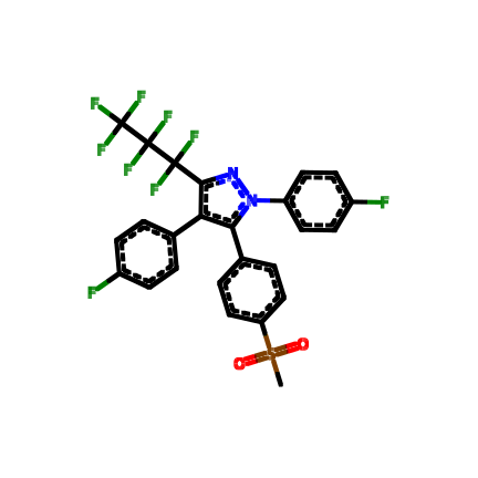 CS(=O)(=O)c1ccc(-c2c(-c3ccc(F)cc3)c(C(F)(F)C(F)(F)C(F)(F)F)nn2-c2ccc(F)cc2)cc1